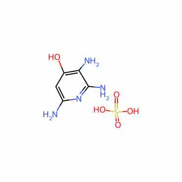 Nc1cc(O)c(N)c(N)n1.O=S(=O)(O)O